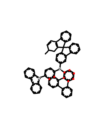 CC1C=CC2=C(C1)C1(c3ccccc32)c2ccccc2-c2cc(N(c3ccc(-n4c5ccccc5c5ccccc54)cc3)c3ccccc3-c3ccccc3-c3ccccc3-c3ccccc3)ccc21